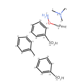 CCCCCON.CN(C)C.Cc1ccccc1.O=S(=O)(O)c1ccccc1.O=S(=O)(O)c1ccccc1